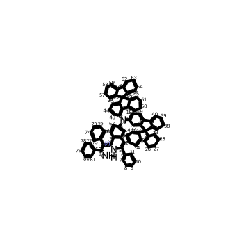 N=C(/C(=C1\NC(c2ccccc2)=Cc2cc(N(c3ccc4c(c3)C(c3ccccc3)(c3ccccc3)c3ccccc3-4)c3cccc4c3-c3ccccc3C43c4ccccc4-c4ccccc43)ccc21)c1ccccc1)c1ccccc1